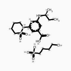 CC[C@H](C)Nc1cc(C(=O)O)cc(N2CCCCS2(=O)=O)n1.O=S(=O)(Cl)CCCCCl